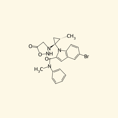 C[C@H]1C[C@@]1(N1CC(=O)ON1)n1c(C(=O)N(C)c2ccccc2)cc2cc(Br)ccc21